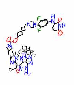 CC(C)(C)n1nc(-c2noc(C3CC3)c2-c2ncc(CC3CN(C(=O)OC4CC5(CC(CN6CCN(c7c(F)cc(NC8CCC(=O)NC8=O)cc7F)CC6)C5)C4)C3)cn2)c2c(N)ncnc21